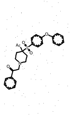 CC(=O)C1(S(=O)(=O)c2ccc(Oc3ccccc3)cc2)CCN(CC(=O)c2ccccc2)CC1